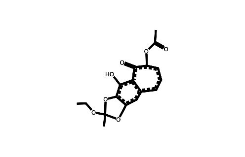 CCOC1(C)Oc2cc3cccc(OC(C)=O)c(=O)c3c(O)c2O1